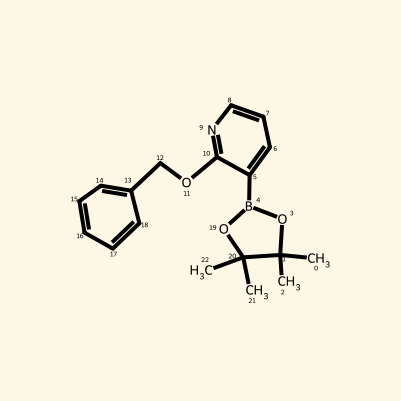 CC1(C)OB(c2cccnc2OCc2ccccc2)OC1(C)C